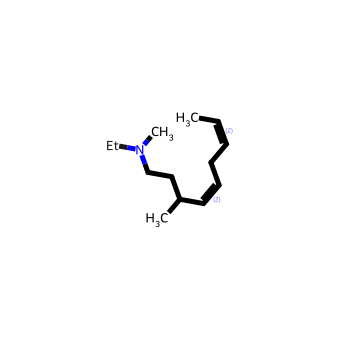 C/C=C\C/C=C\C(C)CCN(C)CC